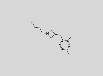 Cc1ccc(CC2CN(CCCF)C2)c(C)c1